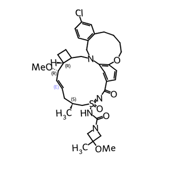 CO[C@H]1/C=C/C[C@H](C)CS(=O)(NC(=O)N2CC(C)(OC)C2)=NC(=O)c2ccc3c(c2)N(Cc2ccc(Cl)cc2CCCCO3)CC2CC[C@H]21